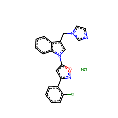 Cl.Clc1ccccc1-c1cc(-n2cc(Cn3ccnc3)c3ccccc32)on1